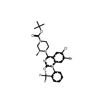 C[C@H]1CN(C(=O)OC(C)(C)C)CCN1c1nc(=O)n(-c2ccccc2C(F)(F)F)c2cc(Br)c(Cl)cc12